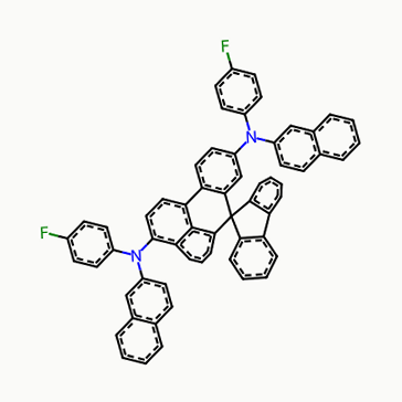 Fc1ccc(N(c2ccc3c(c2)C2(c4ccccc4-c4ccccc42)c2cccc4c(N(c5ccc(F)cc5)c5ccc6ccccc6c5)ccc-3c24)c2ccc3ccccc3c2)cc1